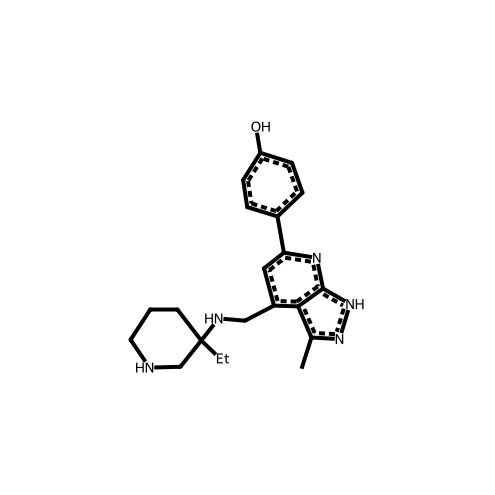 CCC1(NCc2cc(-c3ccc(O)cc3)nc3[nH]nc(C)c23)CCCNC1